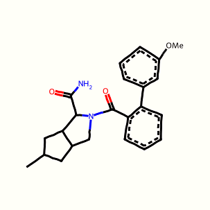 COc1cccc(-c2ccccc2C(=O)N2CC3CC(C)CC3C2C(N)=O)c1